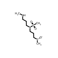 CNCCCN(CCC[S+](C)[O-])S(C)(=O)=O